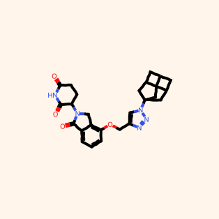 O=C1CCC(N2Cc3c(OCc4cn(C56CC7CC8CC(C5)C87C6)nn4)cccc3C2=O)C(=O)N1